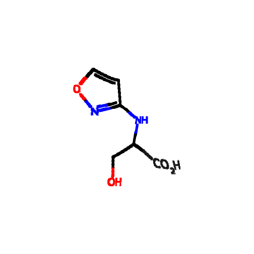 O=C(O)C(CO)Nc1ccon1